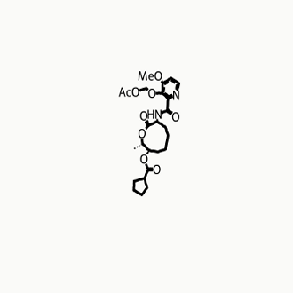 COc1ccnc(C(=O)N[C@H]2CCCC[C@@H](OC(=O)C3CCCC3)[C@H](C)OC2=O)c1OCOC(C)=O